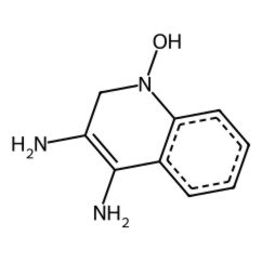 NC1=C(N)c2ccccc2N(O)C1